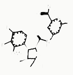 COc1c([C@H]2[C@@H](C(=O)Nc3cc(F)nc(C(N)=O)c3)O[C@](C)(C(F)(F)F)[C@H]2C)ccc(F)c1F